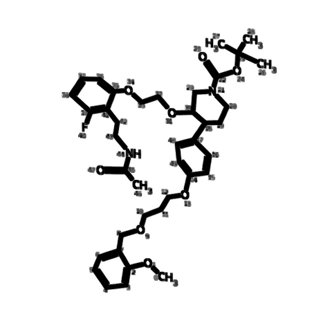 COc1ccccc1COCCCOc1ccc(C2CCN(C(=O)OC(C)(C)C)CC2OCCOc2cccc(F)c2CCNC(C)=O)cc1